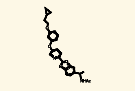 CC(=O)NC(C)c1ccc2nc(-c3ccc(Oc4cccc(OCCC5CC5)c4)cn3)oc2c1